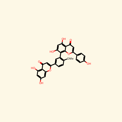 COc1ccc(-c2cc(=O)c3c(O)cc(O)cc3o2)cc1-c1c(O)cc(O)c2c(=O)cc(-c3ccc(O)cc3)oc12